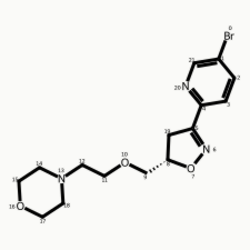 Brc1ccc(C2=NO[C@H](COCCN3CCOCC3)C2)nc1